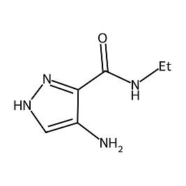 CCNC(=O)c1n[nH]cc1N